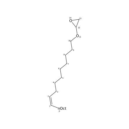 CCCCCCCC/C=C\CCCCCCCCOC1CO1